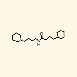 O=C(CCCC1CCCCC1)NCCCCN1CCCCC1